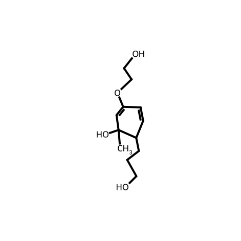 CC1(O)C=C(OCCO)C=CC1CCCO